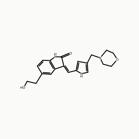 O=C1Nc2ccc(CCO)cc2C1=Cc1cc(CN2CCOCC2)c[nH]1